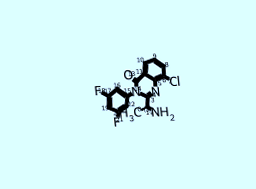 C[C@H](N)c1nc2c(Cl)cccc2c(=O)n1-c1cc(F)cc(F)c1